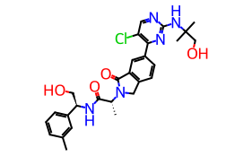 Cc1cccc([C@@H](CO)NC(=O)[C@@H](C)N2Cc3ccc(-c4nc(NC(C)(C)CO)ncc4Cl)cc3C2=O)c1